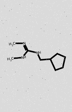 C/N=C(\NC)NCC1CCCC1